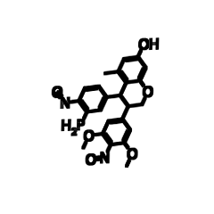 COc1cc(C2COc3cc(O)cc(C)c3C2c2ccc(N=O)c(P)c2)cc(OC)c1N=O